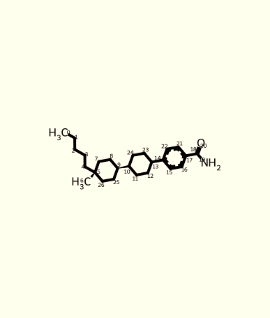 CCCCC[C@]1(C)CC[C@@H](C2CCC(c3ccc(C(N)=O)cc3)CC2)CC1